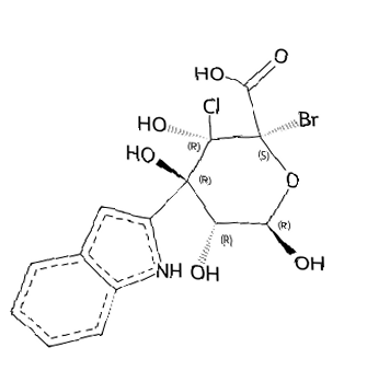 O=C(O)[C@@]1(Br)O[C@@H](O)[C@H](O)[C@](O)(c2cc3ccccc3[nH]2)[C@@]1(O)Cl